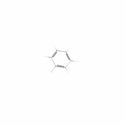 Fc1c(F)c(F)[c]([Ti])c(F)c1F